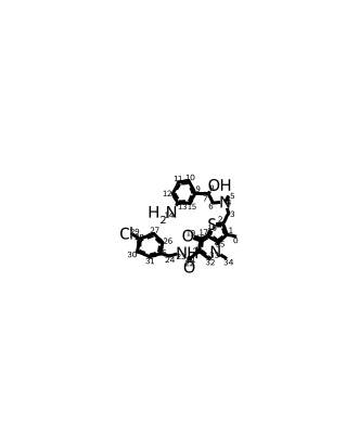 Cc1c(CN(C)CC(O)c2cccc(N)c2)sc2c(=O)c(C(=O)NCc3ccc(Cl)cc3)cn(C)c12